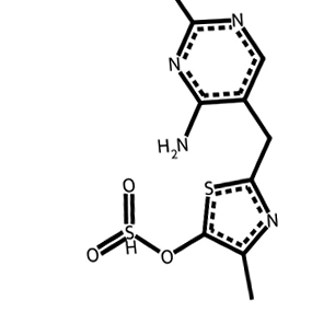 Cc1ncc(Cc2nc(C)c(O[SH](=O)=O)s2)c(N)n1